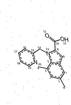 Cc1cc(C)c2c(c1)cc(C(=O)O)n2Cc1ccccn1